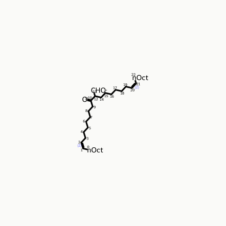 CCCCCCCC/C=C\CCCCCCCC(=O)C([C]=O)CCCCCC/C=C\CCCCCCCC